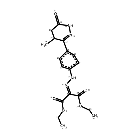 CCOC(=O)C(=NNc1ccc(C2=NNC(=O)CC2C)cc1)C(=O)OCC